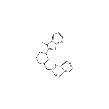 Cn1c(C2CCCN(Cc3ccc4ccccc4n3)C2)cc2ncccc21